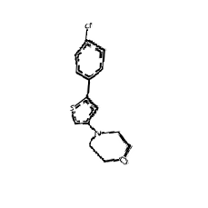 Clc1ccc(-c2cc(N3CCOCC3)cs2)cc1